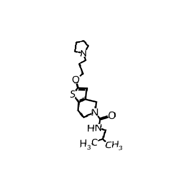 CC(C)CNC(=O)N1CCc2sc(OCCCN3CCCC3)cc2C1